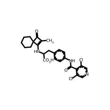 CC1=C(NC(Cc2ccc(NC(=O)c3c(Cl)cncc3Cl)cc2)C(=O)O)C2(CCCCC2)C1=O